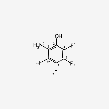 Nc1c(O)c(F)c(F)c(F)c1F